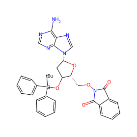 CC(C)(C)[Si](OC1C[C@H](n2cnc3c(N)ncnc32)O[C@@H]1CON1C(=O)c2ccccc2C1=O)(c1ccccc1)c1ccccc1